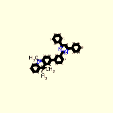 CN1c2ccccc2C(C)(C)c2cc(-c3cccc(-c4nc(-c5ccccc5)cc(-c5ccccc5)n4)c3)ccc21